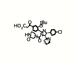 CC(C)(C)Oc1cc(C(=O)CC(=O)O)ccc1C1=N[C@@H](c2ccc(Cl)cc2)[C@@H](c2nccs2)N1C(=O)N1CCNC(=O)C1